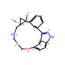 c1cc2cc(c1)[C@H]1C[C@@H]1CNCCCOc1ccc3[nH]nc-2c3c1